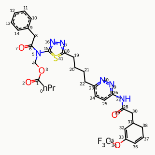 CCCC(=O)OCN(C(=O)Cc1ccccc1)c1nnc(CCCCc2ccc(NC(=O)CC3C=C(OC(F)(F)F)C=CC3)nn2)s1